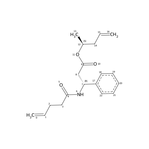 C=CCCC(=O)N[C@H](CC(=O)O[C@@H](C)CC=C)c1ccccc1